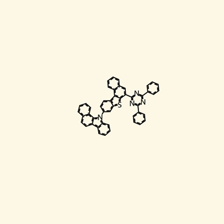 c1ccc(-c2nc(-c3ccccc3)nc(-c3cc4ccccc4c4c3sc3cc(-n5c6ccccc6c6ccc7ccccc7c65)ccc34)n2)cc1